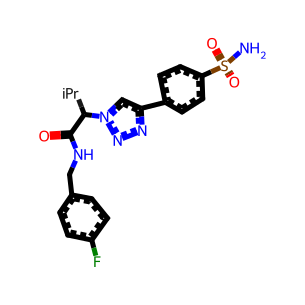 CC(C)C(C(=O)NCc1ccc(F)cc1)n1cc(-c2ccc(S(N)(=O)=O)cc2)nn1